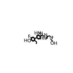 CCc1cc(O)c(F)cc1-c1ccc2c(-c3nc(CN(C)CCO)c[nH]3)n[nH]c2c1